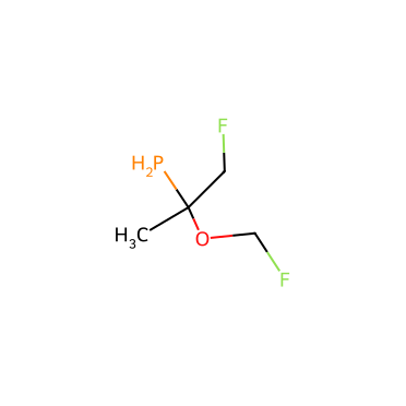 CC(P)(CF)OCF